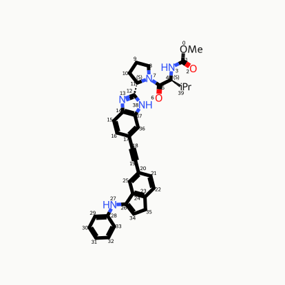 COC(=O)N[C@H](C(=O)N1CCC[C@H]1c1nc2ccc(C#Cc3ccc4c(c3)C(Nc3ccccc3)=CC4)cc2[nH]1)C(C)C